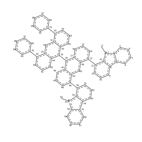 Cp1c2ccccc2c2cccc(-c3cccc4c(-c5c6cccc(-c7ccccc7)c6cc6c(-c7ccccc7)cccc56)c5cccc(-c6cccc7c8ccccc8p(C)c67)c5cc34)c21